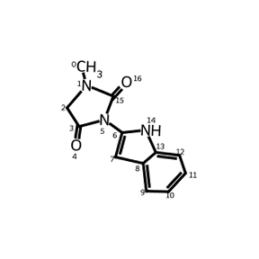 CN1CC(=O)N(c2cc3ccccc3[nH]2)C1=O